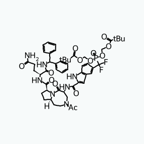 CC(=O)N1CC[C@H]2CC[C@@H](C(=O)N[C@@H](CCC(N)=O)C(=O)NC(c3ccccc3)c3ccccc3)N2C(=O)[C@@H](NC(=O)c2cc3cc(C(F)(F)P(=O)(OCOC(=O)C(C)(C)C)OCOC(=O)C(C)(C)C)ccc3[nH]2)C1